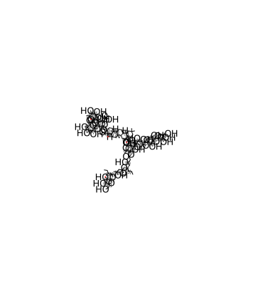 CC[C@H](C)[C@H](C[C@H](O)CC(=O)O[C@@H]1[C@H](O)[C@@H](O[C@@H]2O[C@@H](C)[C@H](O[C@@H]3OC[C@@H](O)[C@H](O[C@@H]4OC[C@](O)(CO)[C@H]4O)[C@H]3O)[C@@H](O)[C@H]2O)[C@H](OC(=O)[C@]23CCC(C)(C)C[C@H]2C2=CC[C@@H]4[C@@]5(C)CC[C@H](O[C@@H]6O[C@H](C(=O)O)[C@@H](O)[C@H](O[C@@H]7O[C@@H](C)[C@@H](O)[C@H](O)[C@H]7O)[C@H]6O[C@@H]6O[C@H](CO)[C@H](O)[C@H](O)[C@H]6O)[C@@](C)(C=O)[C@@H]5CC[C@@]4(C)C2C[C@H]3O)O[C@@H]1C)OC(=O)C[C@@H](O)C[C@H](O[C@@H]1O[C@@H](CO)[C@H](O)[C@H]1O)[C@@H](C)CC